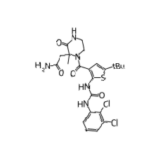 CC(C)(C)c1cc(C(=O)N2CCNC(=O)C2(C)CC(N)=O)c(NC(=O)Nc2cccc(Cl)c2Cl)s1